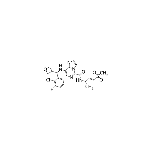 C[C@H](/C=C/S(C)(=O)=O)NC(=O)c1ncc(N[C@@H](c2cccc(F)c2Cl)C2COC2)c2nccn12